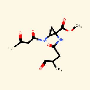 COC(=O)C1(NC(=O)CC(C)C=O)CC1NC(=O)CC(C)=O